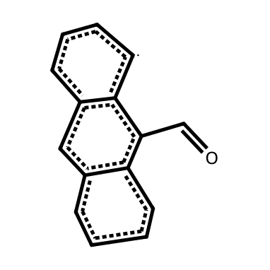 O=Cc1c2[c]cccc2cc2ccccc12